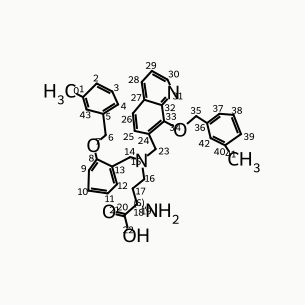 Cc1cccc(COc2ccccc2CN(CC[C@H](N)C(=O)O)Cc2ccc3cccnc3c2OCc2cccc(C)c2)c1